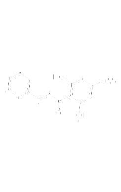 COc1cc(O)c(C(=O)C=Cc2ccccc2)c(O)c1